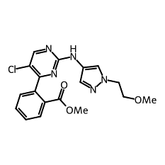 COCCn1cc(Nc2ncc(Cl)c(-c3ccccc3C(=O)OC)n2)cn1